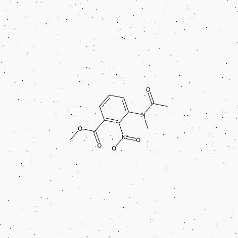 COC(=O)c1cccc(N(C)C(C)=O)c1[N+](=O)[O-]